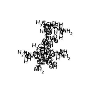 CC[C@@H](C)[C@H](NC(=O)[C@H](CCCNC(=N)N)NC(=O)[C@H](CCC(=O)O)NC(=O)[C@H](CCCCN)NC(=O)[C@H](CCCNC(=N)N)NC(C)=O)C(=O)N[C@@H](CCC(=O)O)C(=O)NCC(=O)N[C@@H](CC(C)C)C(=O)N[C@H](C)CCCNC(=N)N